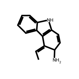 C/C=C1/c2c([nH]c3ccccc23)C=CC1N